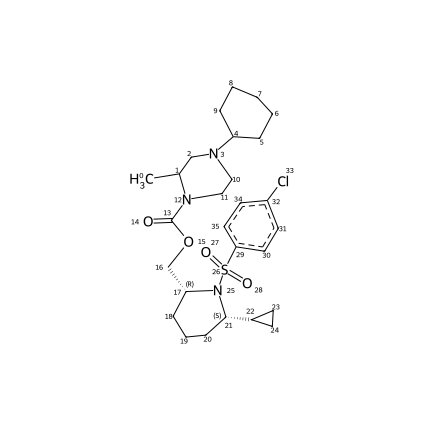 CC1CN(C2CCCCC2)CCN1C(=O)OC[C@H]1CCC[C@@H](C2CC2)N1S(=O)(=O)c1ccc(Cl)cc1